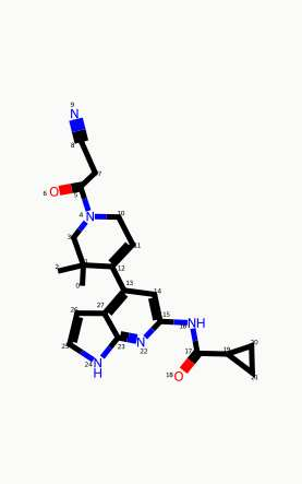 CC1(C)CN(C(=O)CC#N)CC=C1c1cc(NC(=O)C2CC2)nc2[nH]ccc12